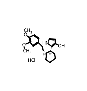 COc1ccc(CC[C@H]2CCCC[C@H]2c2[nH]ccc2O)cc1OC.Cl